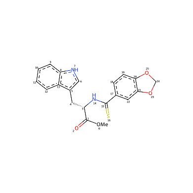 COC(=O)[C@H](Cc1c[nH]c2ccccc12)NC(=S)c1ccc2c(c1)OCO2